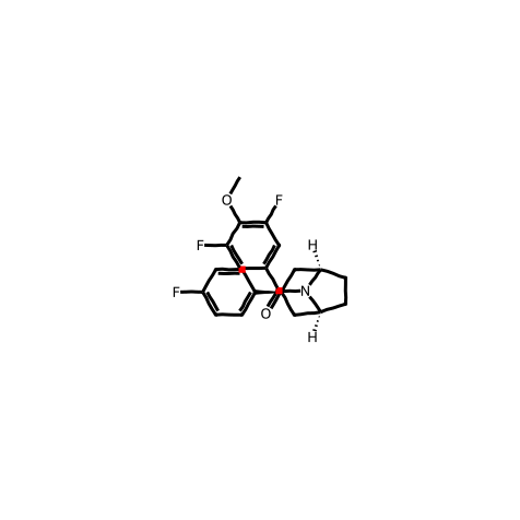 COc1c(F)cc(C(=O)N2[C@@H]3CC[C@H]2C[C@@H](c2ccc(F)cc2)C3)cc1F